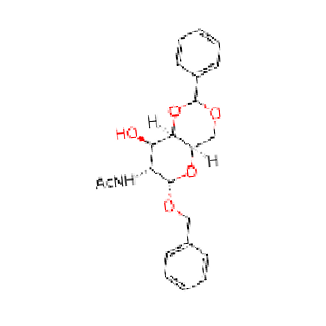 CC(=O)N[C@H]1[C@@H](OCc2ccccc2)O[C@@H]2COC(c3ccccc3)O[C@@H]2[C@@H]1O